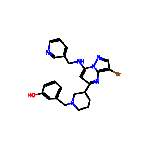 Oc1cccc(CN2CCCC(c3cc(NCc4cccnc4)n4ncc(Br)c4n3)C2)c1